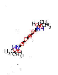 CC(C)(C)OC(=O)NCCOCCOCCOCCOCCNC(=O)OC(C)(C)C